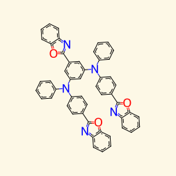 c1ccc(N(c2ccc(-c3nc4ccccc4o3)cc2)c2cc(-c3nc4ccccc4o3)cc(N(c3ccccc3)c3ccc(-c4nc5ccccc5o4)cc3)c2)cc1